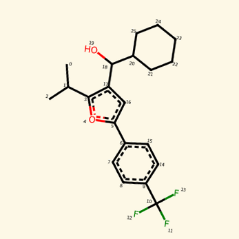 CC(C)c1oc(-c2ccc(C(F)(F)F)cc2)cc1C(O)C1CCCCC1